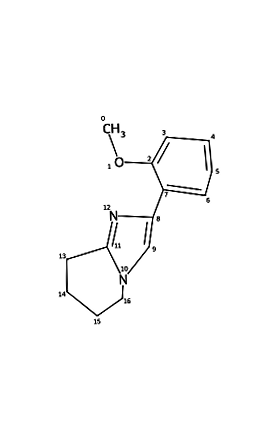 COc1ccccc1-c1cn2c(n1)CCCC2